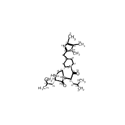 Cc1nc(CC2CCN(C(=O)[C@H](CC(C)C)N3CCN[C@@H](CC(C)C)C3=O)CC2)n(C)c1C